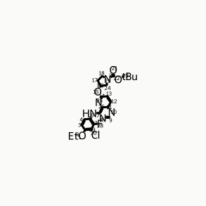 CCOc1ccc(Nc2ncnc3ccc(O[C@H]4CCN(C(=O)OC(C)(C)C)C4)nc23)c(F)c1Cl